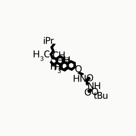 CC(C)CCC[C@@H](C)[C@H]1CC[C@H]2[C@@H]3CC=C4C[C@@H](OCCNC(=O)CNC(=O)OC(C)(C)C)CC[C@]4(C)[C@H]3CC[C@]12C